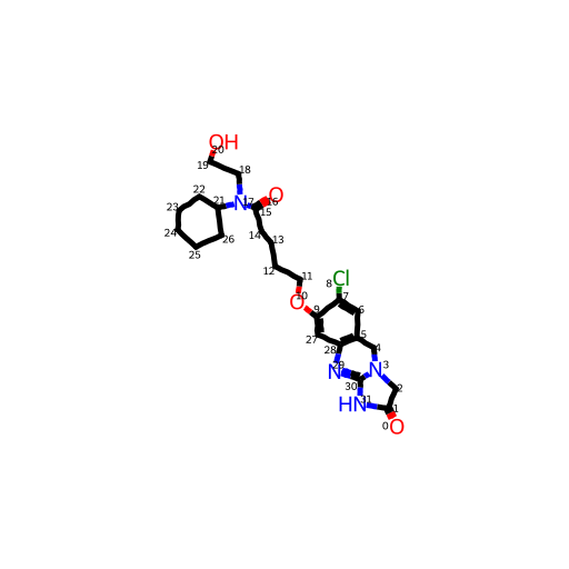 O=C1CN2Cc3cc(Cl)c(OCCCCC(=O)N(CCO)C4CCCCC4)cc3N=C2N1